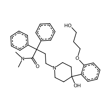 CN(C)C(=O)C(CCN1CCC(O)(c2ccccc2OCCCO)CC1)(c1ccccc1)c1ccccc1